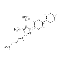 COCCCOc1nn([C@H]2CC[C@H](N3CCOCC3)CC2)cc1N.Cl.Cl